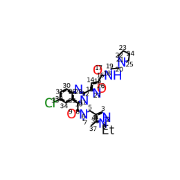 CCn1ncc(CN(C)C(=O)c2nc(-c3cc(C(=O)NCCN4CCCC4)on3)nc3ccc(Cl)cc23)c1C